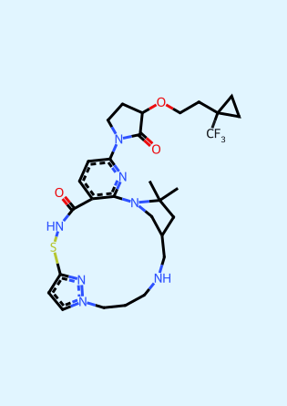 CC1(C)CC2CNCCCn3ccc(n3)SNC(=O)c3ccc(N4CCC(OCCC5(C(F)(F)F)CC5)C4=O)nc3N1C2